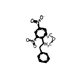 COC.O=[N+]([O-])c1ccc(CCc2ccccc2)c([N+](=O)[O-])c1